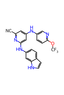 N#Cc1cc(Nc2ccc(OC(F)(F)F)nc2)cc(Nc2ccc3cc[nH]c3c2)n1